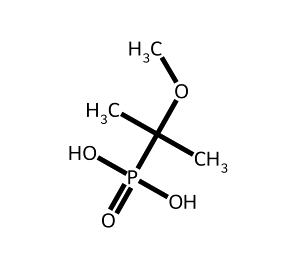 COC(C)(C)P(=O)(O)O